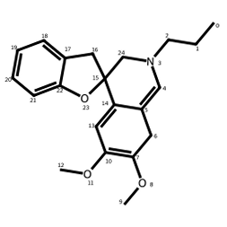 CCCN1C=C2CC(OC)=C(OC)C=C2C2(Cc3ccccc3O2)C1